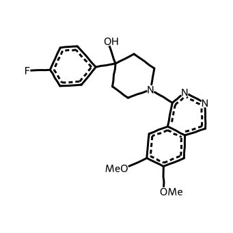 COc1cc2cnnc(N3CCC(O)(c4ccc(F)cc4)CC3)c2cc1OC